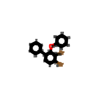 Brc1ccc(-c2ccccc2)c(Oc2ccccc2)c1Br